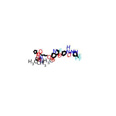 COc1cc2c(Oc3ccc(NC(=O)Nc4ccc(C(F)(F)F)cc4)cc3F)ccnc2cc1OCCCC(NC(=O)OC(C)(C)C)C(=O)OC1CCCC1